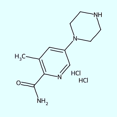 Cc1cc(N2CCNCC2)cnc1C(N)=O.Cl.Cl